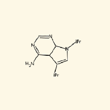 CC(C)C1=CN(C(C)C)C2N=CN=C(N)C12